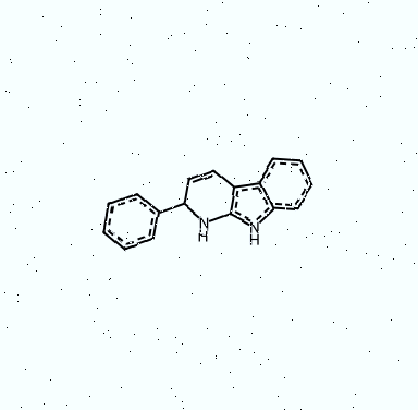 C1=CC(c2ccccc2)Nc2[nH]c3ccccc3c21